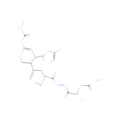 CCNC(=O)Nc1cc(-c2nc(C(F)(F)F)cs2)c(-c2cncc(C(=O)NNC(=O)[C@H](NC(=O)OC(C)(C)C)C(C)C)c2)cn1